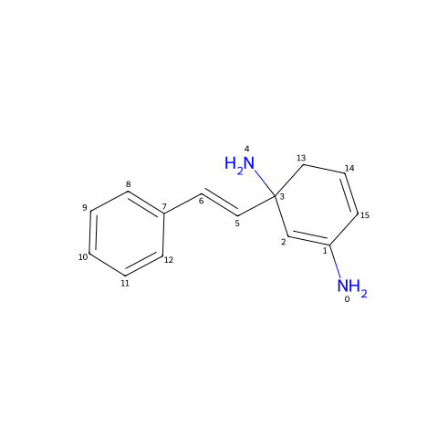 NC1=CC(N)(C=Cc2ccccc2)CC=C1